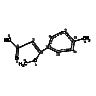 COC(=CC(=O)O)c1ccc(C)cc1